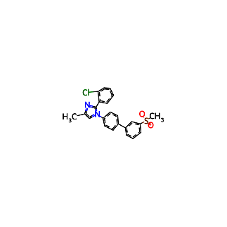 Cc1cn(-c2ccc(-c3cccc(S(C)(=O)=O)c3)cc2)c(-c2ccccc2Cl)n1